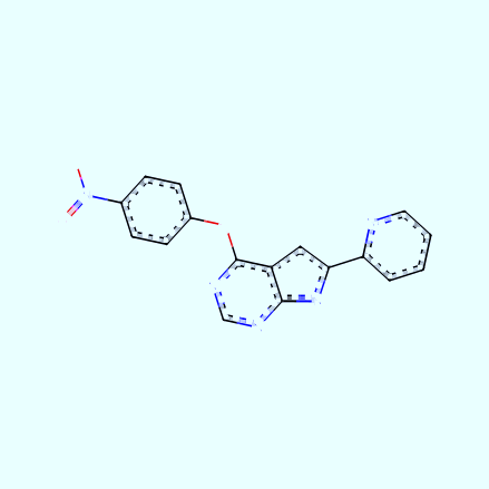 O=[N+]([O-])c1ccc(Oc2ncnc3[nH]c(-c4ccccn4)cc23)cc1